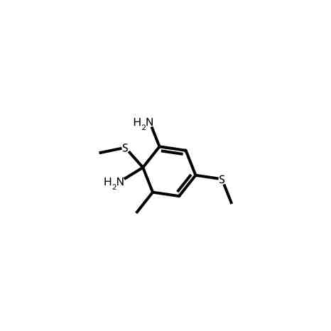 CSC1=CC(C)C(N)(SC)C(N)=C1